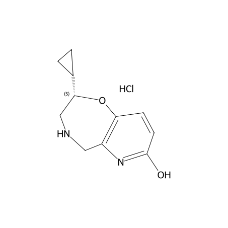 Cl.Oc1ccc2c(n1)CNC[C@H](C1CC1)O2